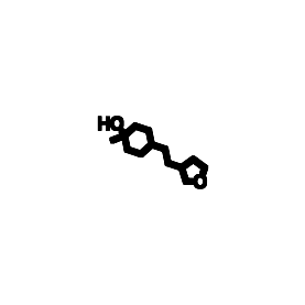 CC1(O)CCC(CCC2CCOC2)CC1